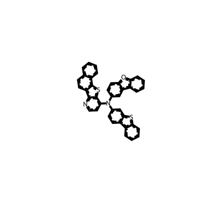 c1ccc2c(c1)ccc1c3nccc(N(c4ccc5c(c4)sc4ccccc45)c4ccc5oc6ccccc6c5c4)c3sc21